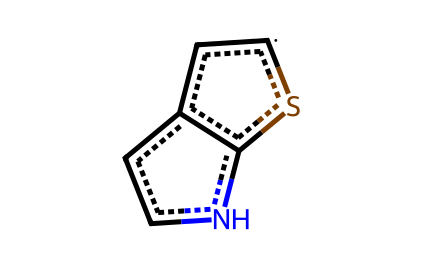 [c]1cc2cc[nH]c2s1